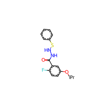 CC(C)Oc1ccc(F)c(C(=O)NNSc2ccccc2)c1